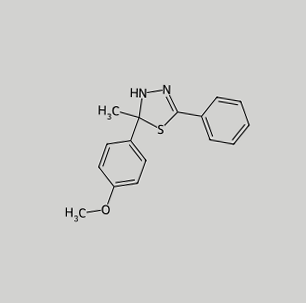 COc1ccc(C2(C)NN=C(c3ccccc3)S2)cc1